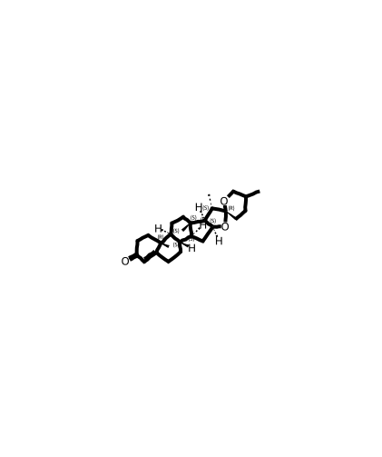 CC1CC[C@@]2(OC1)O[C@H]1C[C@H]3[C@@H]4CCC5=CC(=O)CC[C@]5(C)[C@H]4CC[C@]3(C)[C@H]1[C@@H]2C